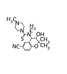 CN1CCN(C(=S)N(C)C2c3cc(C#N)ccc3OC(C)(C)C2O)CC1